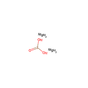 O=S(O)O.[MgH2].[MgH2]